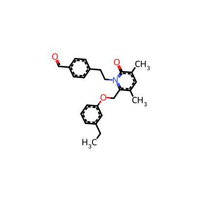 CCc1cccc(OCc2c(C)cc(C)c(=O)n2CCc2ccc(C=O)cc2)c1